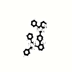 c1ccc(-c2nc(-c3ccccc3)nc(-c3cccc4oc5cc(-c6nc(-c7ccccc7)c7cccnc7n6)ccc5c34)n2)cc1